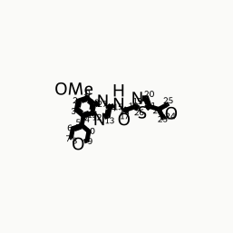 COc1ccc(C2=CCOCC2)c2ncc(NC(=O)c3ncc(C4COC4)s3)nc12